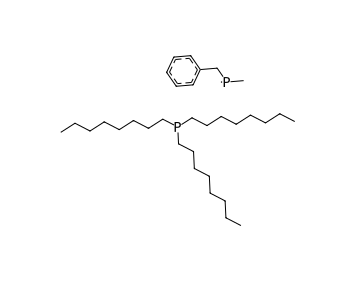 CCCCCCCCP(CCCCCCCC)CCCCCCCC.C[P]Cc1ccccc1